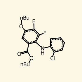 CCCCOC(=O)c1cc(OCCCC)c(F)c(F)c1Nc1ccccc1Cl